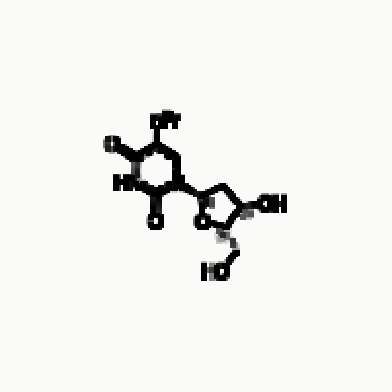 CCCc1cn([C@H]2C[C@@H](O)[C@H](CO)O2)c(=O)[nH]c1=O